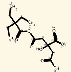 CCC(CC)(CC)C(=O)OC(=O)CC(O)(CC(=O)O)C(=O)O